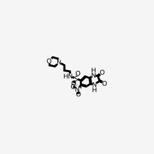 O=c1[nH]c2cc([N+](=O)[O-])c(S(=O)(=O)NCCCN3CCOCC3)cc2[nH]c1=O